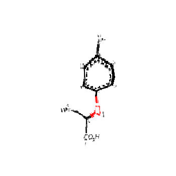 CC(C)c1ccc(OC(C(=O)O)C(C)C)cc1